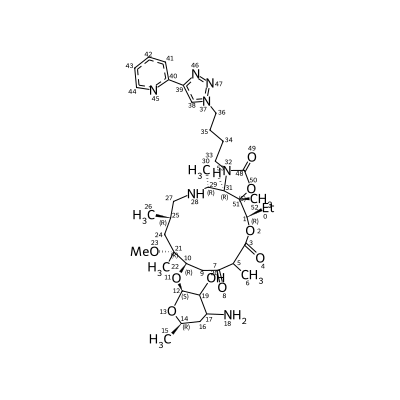 CC[C@H]1OC(=O)C(C)C(=O)C[C@@H](O[C@@H]2O[C@H](C)CC(N)C2O)[C@](C)(OC)C[C@@H](C)CN[C@H](C)[C@H]2N(CCCCn3cc(-c4ccccn4)nn3)C(=O)O[C@]12C